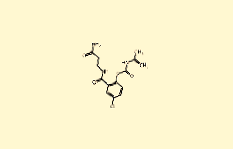 C=C(C)NC(=O)Sc1ccc(Cl)cc1C(=O)NCCC(N)=O